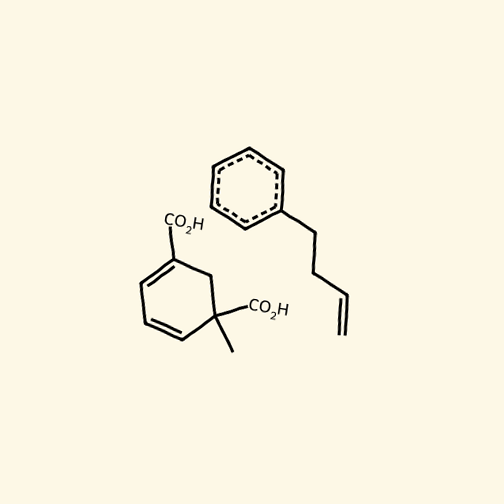 C=CCCc1ccccc1.CC1(C(=O)O)C=CC=C(C(=O)O)C1